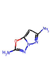 Nc1cc2oc(N)nn2n1